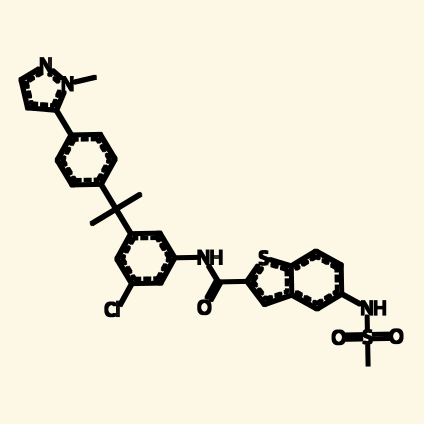 Cn1nccc1-c1ccc(C(C)(C)c2cc(Cl)cc(NC(=O)c3cc4cc(NS(C)(=O)=O)ccc4s3)c2)cc1